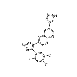 Fc1cc(F)c(-c2n[nH]cc2-c2ccc3ncc(-c4cn[nH]c4)cc3n2)cc1Cl